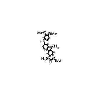 COc1ccc(Nc2ccc3c4c(n(C)c3c2)CCC(N(C)C(=O)OC(C)(C)C)C4)cc1OC